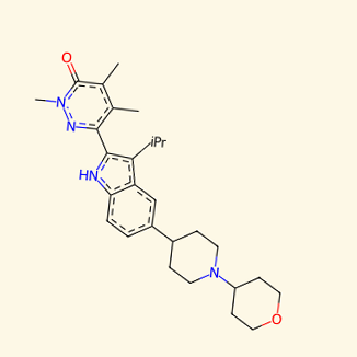 Cc1c(-c2[nH]c3ccc(C4CCN(C5CCOCC5)CC4)cc3c2C(C)C)nn(C)c(=O)c1C